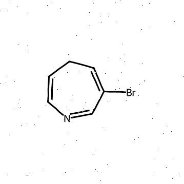 BrC1=CCC=CN=C1